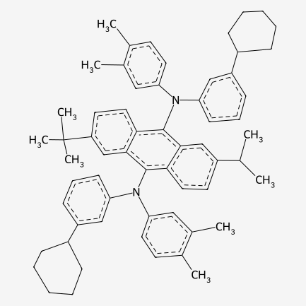 Cc1ccc(N(c2cccc(C3CCCCC3)c2)c2c3ccc(C(C)(C)C)cc3c(N(c3cccc(C4CCCCC4)c3)c3ccc(C)c(C)c3)c3ccc(C(C)C)cc23)cc1C